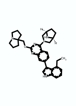 CCc1cccc2[nH]cc(-c3ccc4c(N5C[C@H]6CC[C@@H](C5)N6)nc(OCC56CCCN5CCC6)nc4c3)c12